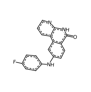 O=c1[nH]c2ncccc2c2cc(Nc3ccc(F)cc3)ccc12